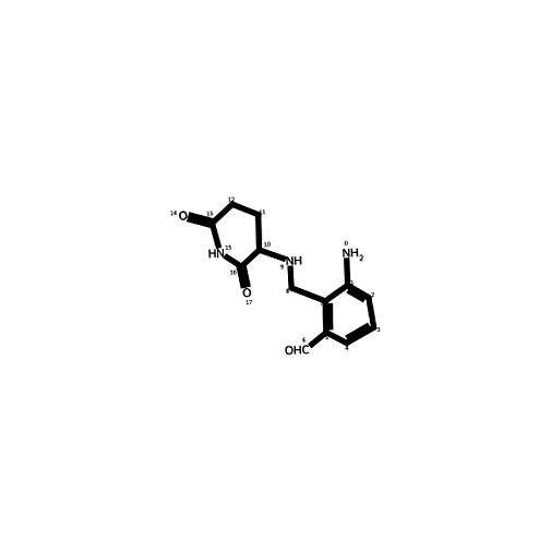 Nc1cccc(C=O)c1CNC1CCC(=O)NC1=O